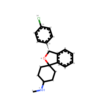 CNC1CCC2(CC1)O[C@H](c1ccc(Cl)cc1)c1ccccc12